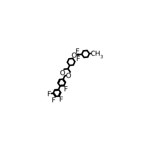 CC1CCC(C(F)(F)OC2CCC(C3COC(c4ccc(-c5cc(F)c(F)c(F)c5)c(F)c4)OC3)CC2)CC1